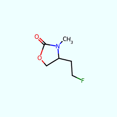 CN1C(=O)OCC1CCF